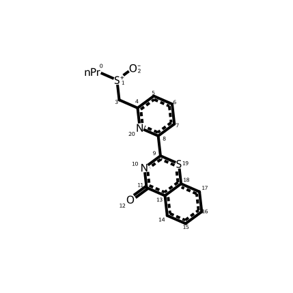 CCC[S+]([O-])Cc1cccc(-c2nc(=O)c3ccccc3s2)n1